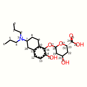 CCCN(CCC)C1CCc2c(ccc(O)c2OC2CC(O)C[C@@H](C(=O)O)O2)C1